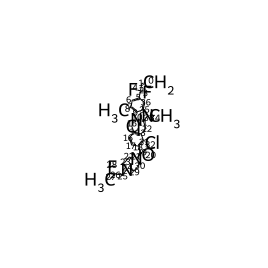 C=CC(F)(F)c1cc(C)c2nc(Cc3c(Cl)ccc(C(=O)N4CCN(CC(C)F)CC4)c3Cl)n(C)c2c1